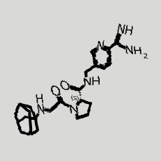 N=C(N)c1ccc(CNC(=O)[C@@H]2CCCN2C(=O)CNC23CC4CC(CC(C4)C2)C3)cn1